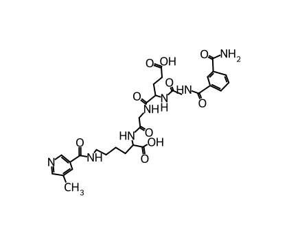 Cc1cncc(C(=O)NCCCCC(NC(=O)CNC(=O)C(CCC(=O)O)NC(=O)CNC(=O)c2cccc(C(N)=O)c2)C(=O)O)c1